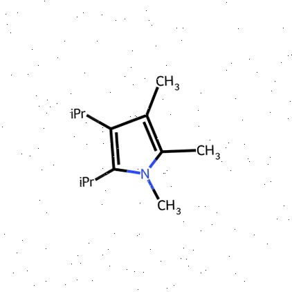 Cc1c(C(C)C)c(C(C)C)n(C)c1C